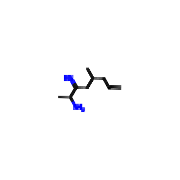 C=CCC(C)CC(=N)C(C)N